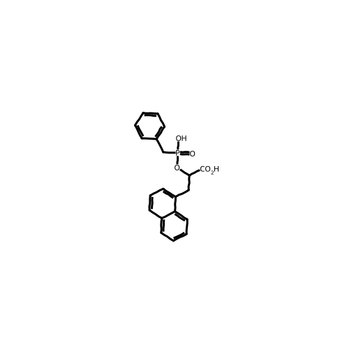 O=C(O)C(Cc1cccc2ccccc12)OP(=O)(O)Cc1ccccc1